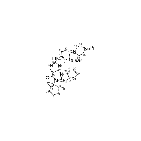 COc1cc(Nc2ncc3c(=O)n(-c4c(C)cccc4C)c4nc5ccccc5n4c3n2)ccc1N1CCN(C(C)C)CC1